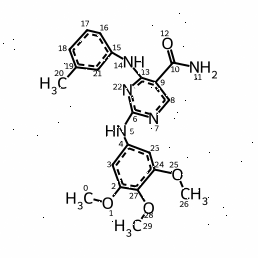 COc1cc(Nc2ncc(C(N)=O)c(Nc3cccc(C)c3)n2)cc(OC)c1OC